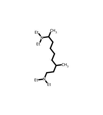 CCN(CC)CCC(C)[CH]CCCC(C)N(CC)CC